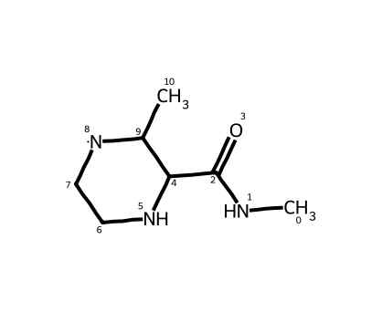 CNC(=O)C1NCC[N]C1C